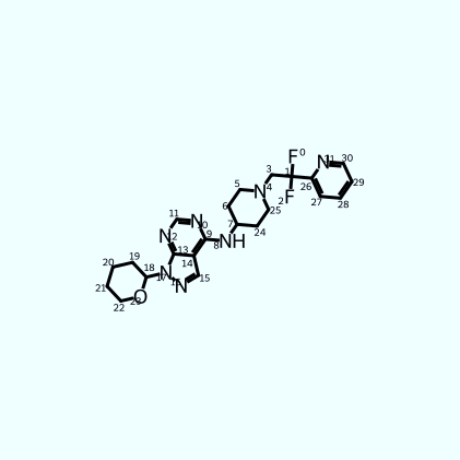 FC(F)(CN1CCC(Nc2ncnc3c2cnn3C2CCCCO2)CC1)c1ccccn1